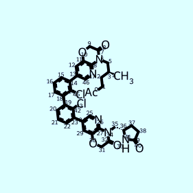 CC(=O)CC[C@H](C)CN1C(=O)COc2cc(-c3cccc(-c4cccc(-c5cnc6c(c5)OCC(=O)N6C[C@@H]5CCC(=O)N5)c4Cl)c3Cl)cnc21